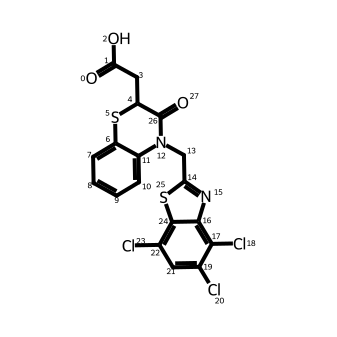 O=C(O)CC1Sc2ccccc2N(Cc2nc3c(Cl)c(Cl)cc(Cl)c3s2)C1=O